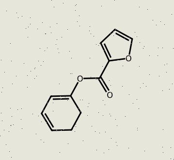 O=C(OC1=CC=CCC1)c1ccco1